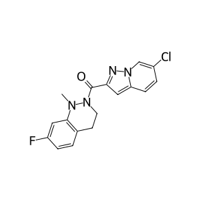 CN1c2cc(F)ccc2CCN1C(=O)c1cc2ccc(Cl)cn2n1